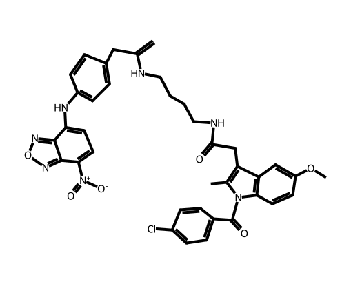 C=C(Cc1ccc(Nc2ccc([N+](=O)[O-])c3nonc23)cc1)NCCCCNC(=O)Cc1c(C)n(C(=O)c2ccc(Cl)cc2)c2ccc(OC)cc12